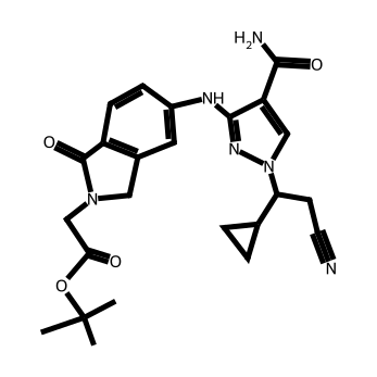 CC(C)(C)OC(=O)CN1Cc2cc(Nc3nn(C(CC#N)C4CC4)cc3C(N)=O)ccc2C1=O